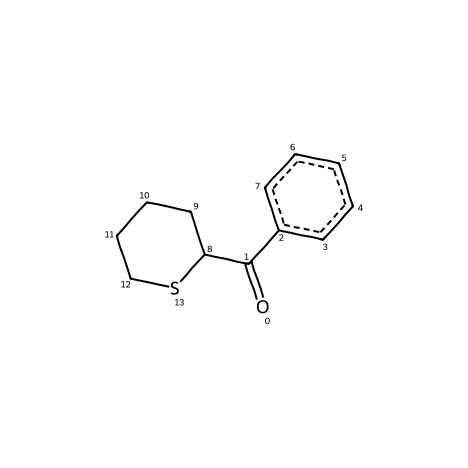 O=C(c1ccccc1)C1CCCCS1